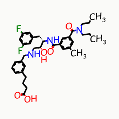 CCCN(CCC)C(=O)c1cc(C)cc(C(=O)N[C@@H](Cc2cc(F)cc(F)c2)[C@H](O)CNCc2cccc(CCCC(=O)O)c2)c1